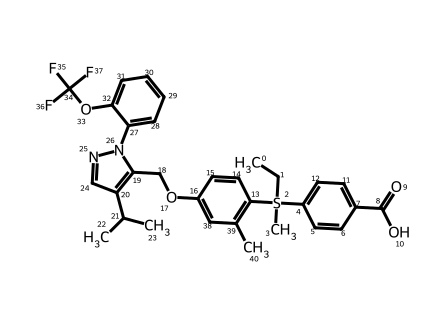 CCS(C)(c1ccc(C(=O)O)cc1)c1ccc(OCc2c(C(C)C)cnn2-c2ccccc2OC(F)(F)F)cc1C